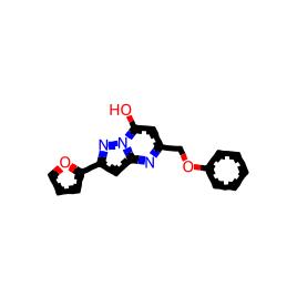 Oc1cc(COc2ccccc2)nc2cc(-c3ccco3)nn12